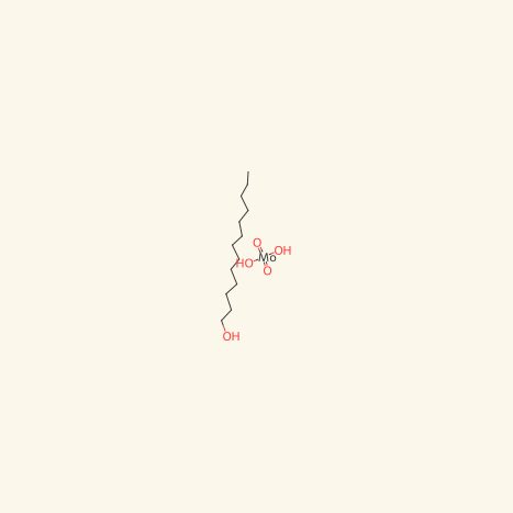 CCCCCCCCCCCCCO.[O]=[Mo](=[O])([OH])[OH]